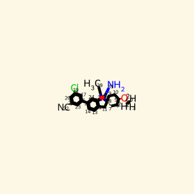 [2H]C([2H])([2H])O[C@H]1CC[C@]2(CC1)Cc1ccc(-c3cc(Cl)cc(C#N)c3)cc1C21N=C(C)C(N)=N1